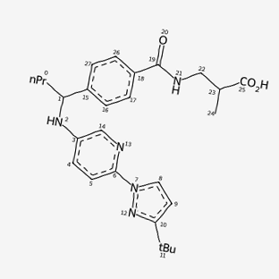 CCCC(Nc1ccc(-n2ccc(C(C)(C)C)n2)nc1)c1ccc(C(=O)NCC(C)C(=O)O)cc1